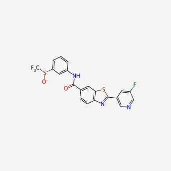 O=C(Nc1cccc([S+]([O-])C(F)(F)F)c1)c1ccc2nc(-c3cncc(F)c3)sc2c1